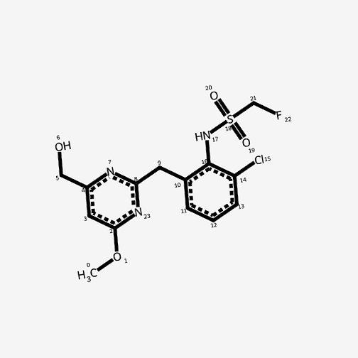 COc1cc(CO)nc(Cc2cccc(Cl)c2NS(=O)(=O)CF)n1